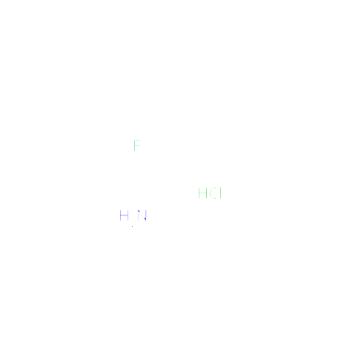 Cl.NCC1(F)CC1